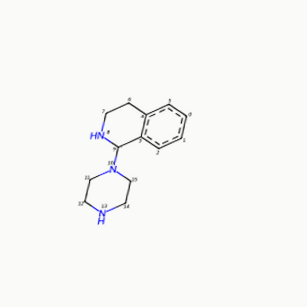 c1ccc2c(c1)CCN[C]2N1CCNCC1